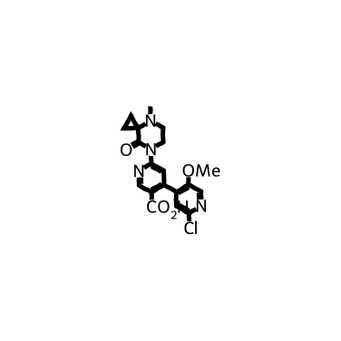 COc1cnc(Cl)cc1-c1cc(N2CCN(C)C3(CC3)C2=O)ncc1C(=O)O